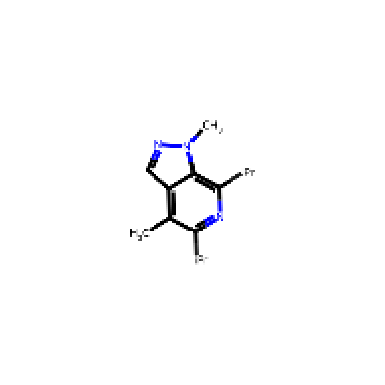 Cc1c(C(C)C)nc(C(C)C)c2c1cnn2C